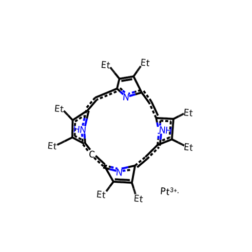 CCC1=C(CC)c2cc3[nH]c(cc4nc(cc5[nH]c(cc1n2)c(CC)c5CC)C(CC)=C4CC)c(CC)c3CC.[Pt+3]